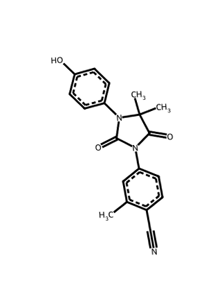 Cc1cc(N2C(=O)N(c3ccc(O)cc3)C(C)(C)C2=O)ccc1C#N